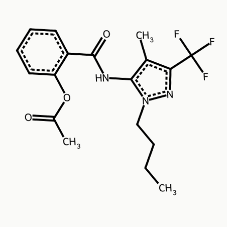 CCCCn1nc(C(F)(F)F)c(C)c1NC(=O)c1ccccc1OC(C)=O